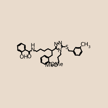 COCCCn1c(SCc2cccc(C)c2)nnc1C(CCCCNC(=O)c1ccccc1O)Cc1ccccc1OC